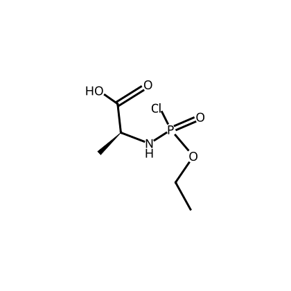 CCOP(=O)(Cl)N[C@@H](C)C(=O)O